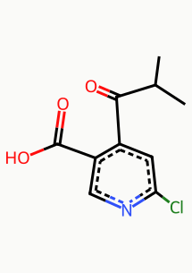 CC(C)C(=O)c1cc(Cl)ncc1C(=O)O